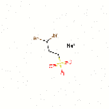 O=S(=O)([O-])CCC(Br)Br.[Na+]